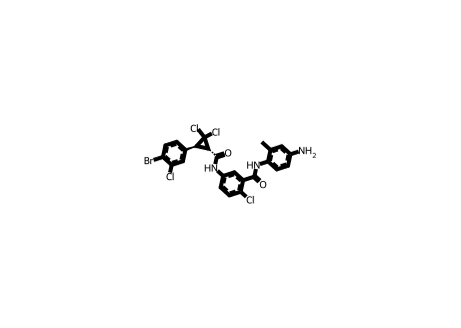 Cc1cc(N)ccc1NC(=O)c1cc(NC(=O)[C@@H]2[C@@H](c3ccc(Br)c(Cl)c3)C2(Cl)Cl)ccc1Cl